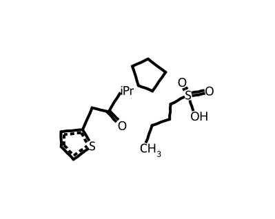 C1CCCC1.CC(C)C(=O)Cc1cccs1.CCCCS(=O)(=O)O